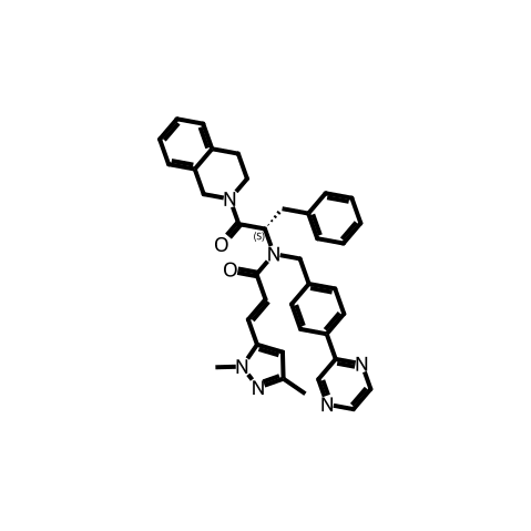 Cc1cc(C=CC(=O)N(Cc2ccc(-c3cnccn3)cc2)[C@@H](Cc2ccccc2)C(=O)N2CCc3ccccc3C2)n(C)n1